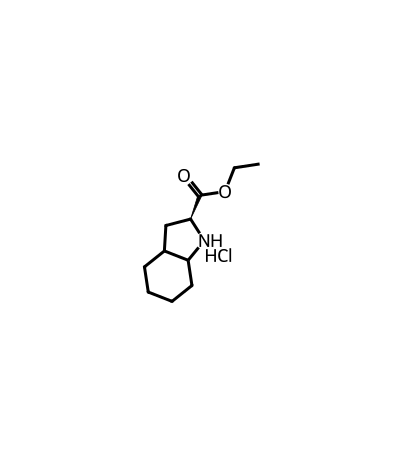 CCOC(=O)[C@@H]1CC2CCCCC2N1.Cl